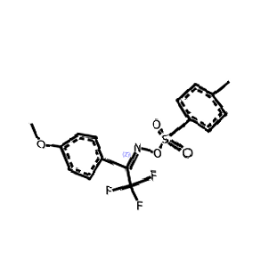 COc1ccc(/C(=N/OS(=O)(=O)c2ccc(C)cc2)C(F)(F)F)cc1